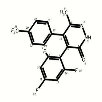 Cc1n[nH]c(=O)c(-c2c(F)cc(F)cc2F)c1-c1ccc(C(F)(F)F)cc1